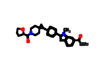 COC(=O)c1ccc2cc(-c3ccc(C4CC45CCN(C(=O)[C@H]4CCCO4)CC5)cc3)n(C)c2c1